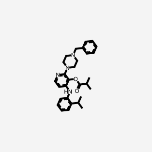 CC(C)C(=O)Oc1c(Nc2ccccc2C(C)C)ccnc1N1CCN(Cc2ccccc2)CC1